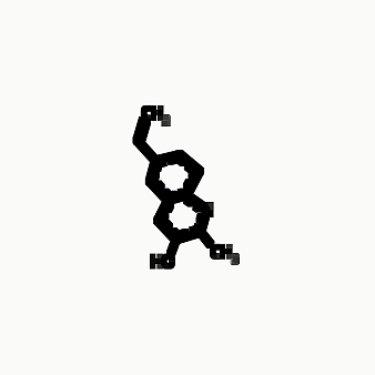 C=Cc1ccc2nc(C)c(O)cc2c1